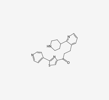 O=C(CCc1cccnc1C1CCNCC1)c1csc(-c2ccncc2)n1